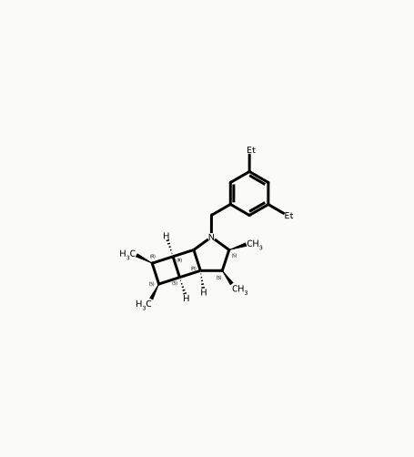 CCc1cc(CC)cc(CN2C3[C@@H]4[C@H](C)[C@H](C)[C@@H]4[C@@H]3[C@H](C)[C@@H]2C)c1